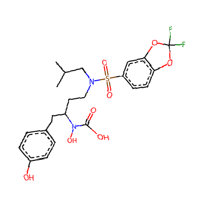 CC(C)CN(CCC(Cc1ccc(O)cc1)N(O)C(=O)O)S(=O)(=O)c1ccc2c(c1)OC(F)(F)O2